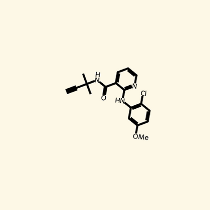 C#CC(C)(C)NC(=O)c1cccnc1Nc1cc(OC)ccc1Cl